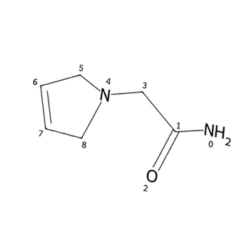 NC(=O)CN1CC=CC1